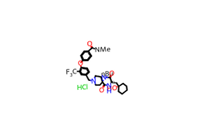 CCCCN1C(=O)[C@@H](CC2(O)CCCCC2)NC(=O)C12CCN(Cc1ccc(Oc3ccc(C(=O)NC)cc3)c(C(F)(F)F)c1)CC2.Cl